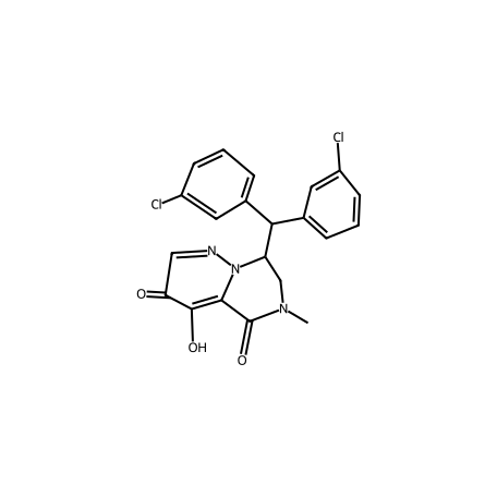 CN1CC(C(c2cccc(Cl)c2)c2cccc(Cl)c2)n2ncc(=O)c(O)c2C1=O